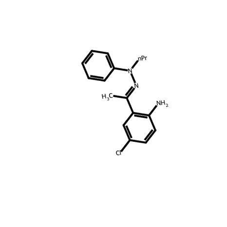 CCCN(/N=C(\C)c1cc(Cl)ccc1N)c1ccccc1